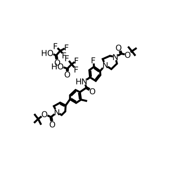 Cc1cc(C2=CCN(C(=O)OC(C)(C)C)CC2)ccc1C(=O)Nc1ccc(N2CCN(C(=O)OC(C)(C)C)CC2)c(F)c1.O=C(O)C(F)(F)F.O=C(O)C(F)(F)F